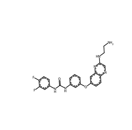 NCCNc1cnc2ccc(Oc3cccc(NC(=O)Nc4ccc(F)c(F)c4)c3)cc2n1